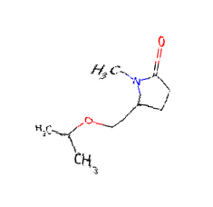 CC(C)OCC1CCC(=O)N1C